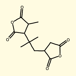 CC1C(=O)OC(=O)C1C(C)(C)CC1CC(=O)OC1=O